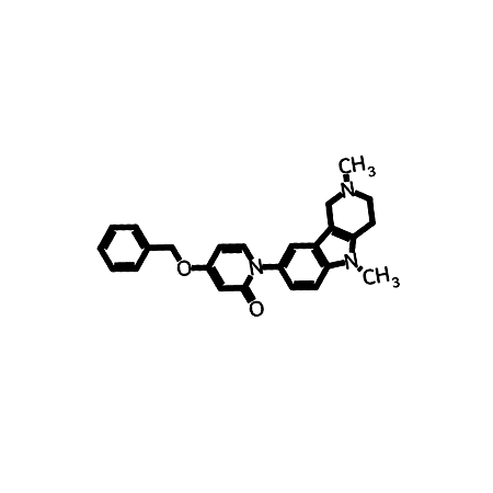 CN1CCc2c(c3cc(-n4ccc(OCc5ccccc5)cc4=O)ccc3n2C)C1